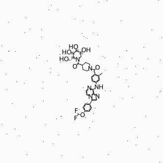 Cc1cc(Nc2nccn3c(-c4ccc(OC(F)F)cc4)cnc23)ccc1C(=O)N1CCC(C(=O)N2C[C@H](O)[C@@H](O)[C@@H](O)[C@H]2CO)CC1